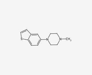 CN1CCN(c2ccc3sccc3c2)CC1